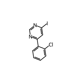 Clc1ccccc1-c1cc(I)ncn1